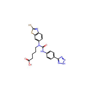 O=C(O)CCCCN(C(=O)Nc1ccc(-c2nn[nH]n2)cc1)c1ccc2nc(S)sc2c1